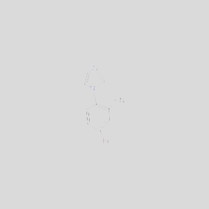 N#Cc1cc(Br)ccc1-n1ccnc1